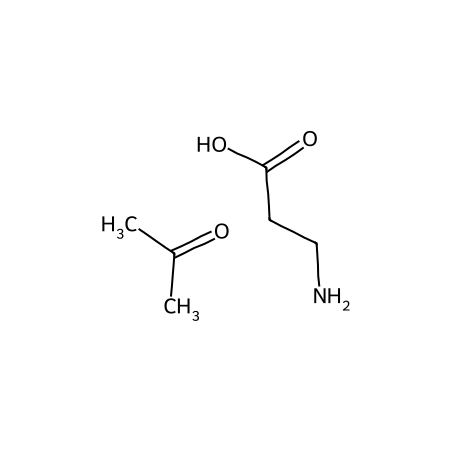 CC(C)=O.NCCC(=O)O